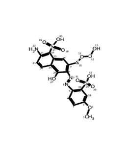 COc1ccc(N=Nc2c(SOOO)cc3c(S(=O)(=O)O)c(N)ccc3c2O)c(S(=O)(=O)O)c1